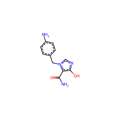 NC(=O)c1c(O)ncn1Cc1ccc(N)cc1